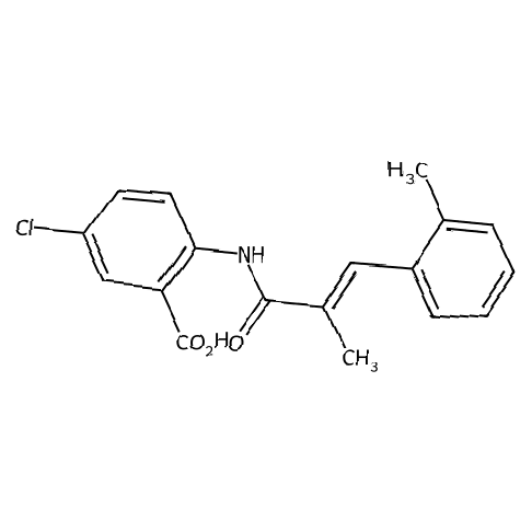 C/C(=C\c1ccccc1C)C(=O)Nc1ccc(Cl)cc1C(=O)O